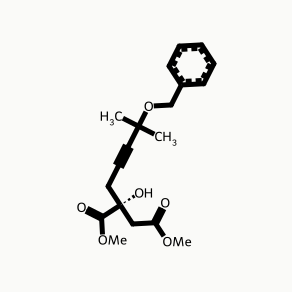 COC(=O)C[C@](O)(CC#CC(C)(C)OCc1ccccc1)C(=O)OC